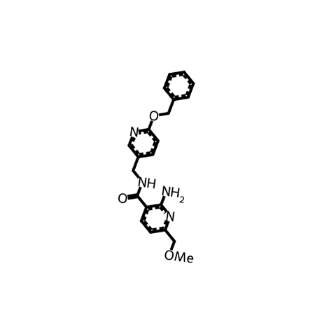 COCc1ccc(C(=O)NCc2ccc(OCc3ccccc3)nc2)c(N)n1